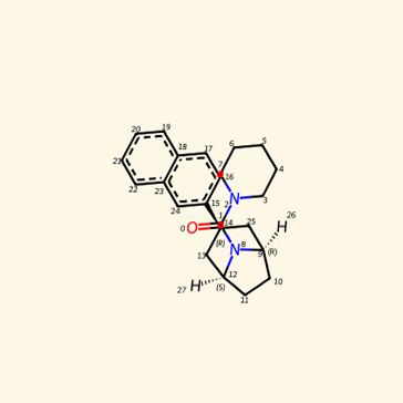 O=C(N1CCCCC1)N1[C@@H]2CC[C@H]1C[C@@H](c1ccc3ccccc3c1)C2